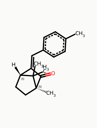 Cc1ccc(C=C2C(=O)[C@@]3(C)CC[C@H]2C3(C)C)cc1